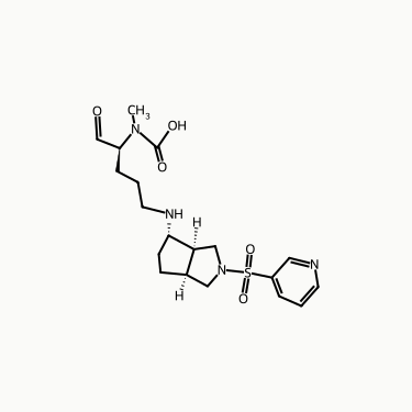 CN(C(=O)O)[C@H](C=O)CCCN[C@H]1CC[C@@H]2CN(S(=O)(=O)c3cccnc3)C[C@@H]21